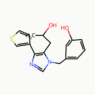 CC(O)Cc1c(-c2ccsc2)ncn1Cc1cccc(O)c1